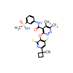 Cc1c(C(F)(F)F)nnc(Oc2c(F)cc(C3(C#N)CCC3)nc2F)c1C(=O)Nc1cccc(S(C)(=N)=O)c1